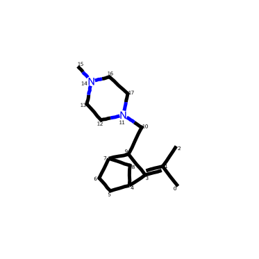 CC(C)=C1C2CCC(C2)C1CN1CCN(C)CC1